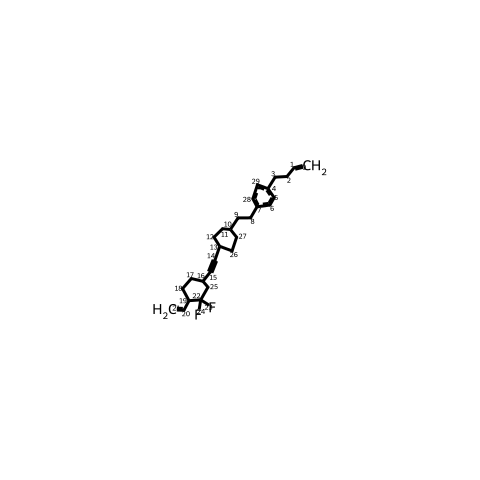 C=CCCc1ccc(CCC2CCC(C#CC3CCC(C=C)C(F)(F)C3)CC2)cc1